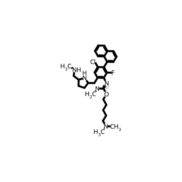 C=N/C(=N\c1c(CC2CCC(CNC)N2)cc(Cl)c(-c2cccc3ccccc23)c1F)OCCCCCN(C)C